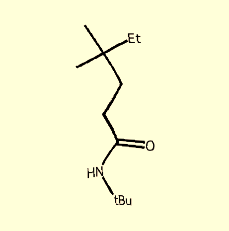 CCC(C)(C)CCC(=O)NC(C)(C)C